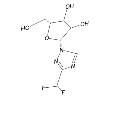 OC[C@H]1O[C@@H](n2cnc(C(F)F)n2)C(O)C1O